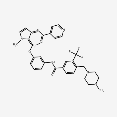 C\N=C(/N=C1/C=CN(C)/C1=C\Oc1cccc(NC(=O)c2ccc(CN3CCN(C)CC3)c(C(F)(F)F)c2)c1)c1ccncc1